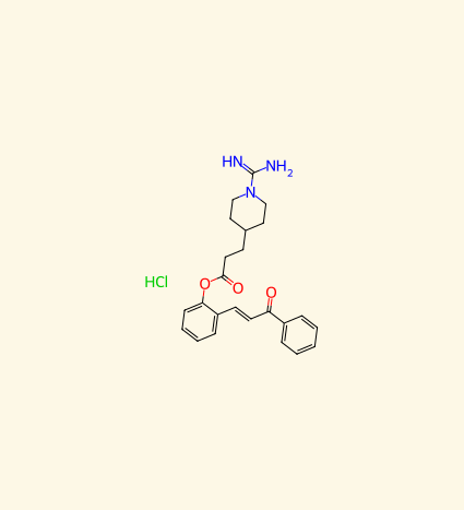 Cl.N=C(N)N1CCC(CCC(=O)Oc2ccccc2C=CC(=O)c2ccccc2)CC1